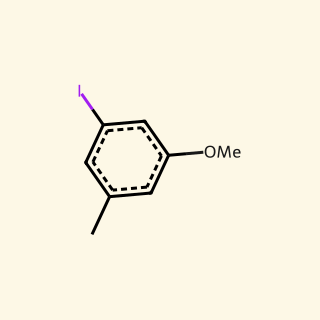 COc1cc(C)cc(I)c1